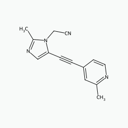 Cc1cc(C#Cc2cnc(C)n2CC#N)ccn1